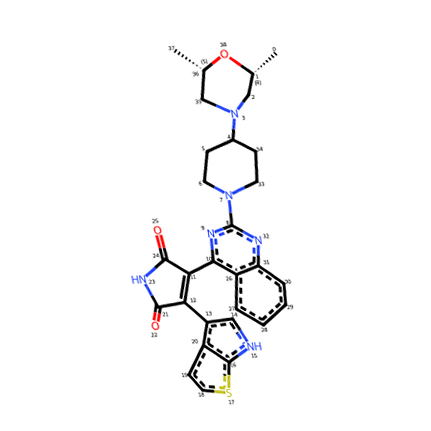 C[C@@H]1CN(C2CCN(c3nc(C4=C(c5c[nH]c6sccc56)C(=O)NC4=O)c4ccccc4n3)CC2)C[C@H](C)O1